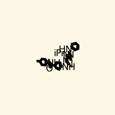 CC1CCN(NC(=O)c2ccc(Nc3ncc4nc(Nc5ccccc5)n(C(C)C)c4n3)cc2)CC1